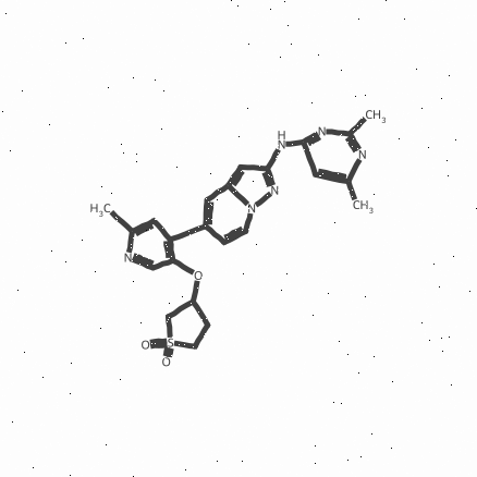 Cc1cc(-c2ccn3nc(Nc4cc(C)nc(C)n4)cc3c2)c(OC2CCS(=O)(=O)C2)cn1